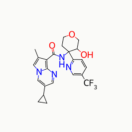 Cc1cn2cc(C3CC3)cnc2c1C(=O)NC1(c2ccc(C(F)(F)F)cn2)CCOCC1O